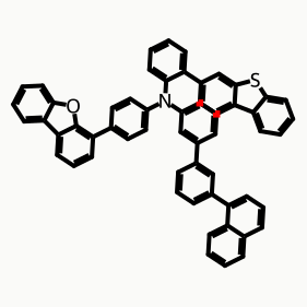 c1cc(-c2cccc(N(c3ccc(-c4cccc5c4oc4ccccc45)cc3)c3ccccc3-c3ccc4c(c3)sc3ccccc34)c2)cc(-c2cccc3ccccc23)c1